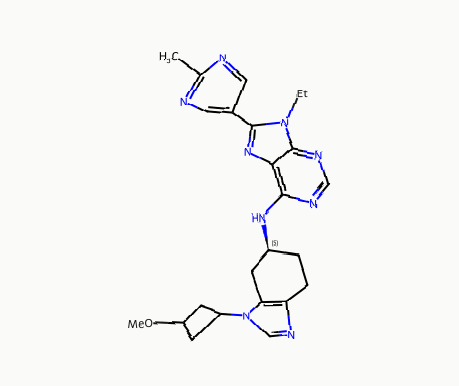 CCn1c(-c2cnc(C)nc2)nc2c(N[C@H]3CCc4ncn(C5CC(OC)C5)c4C3)ncnc21